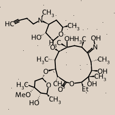 C#CCCN(C)[C@H]1C[C@@H](C)OC(O[C@@H]2[C@@H](C)[C@H](O[C@H]3C[C@@](C)(OC)[C@@H](O)[C@H](C)O3)[C@@H](C)C(=O)O[C@H](CC)[C@@](C)(O)[C@H](O)[C@@H](C)/C(=N/O)[C@H](C)C[C@@]2(C)O)[C@@H]1O